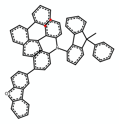 CC1(c2ccccc2)c2ccccc2-c2c(N(c3ccc(-c4ccc5oc6ccccc6c5c4)cc3)c3ccccc3-c3cccc4cccc(-c5ccccc5)c34)cccc21